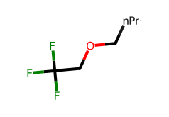 CC[CH]COCC(F)(F)F